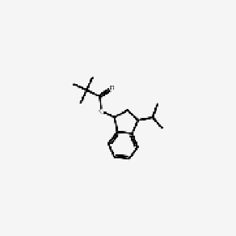 CC(C)C1CC(OC(=O)C(C)(C)C)c2ccccc21